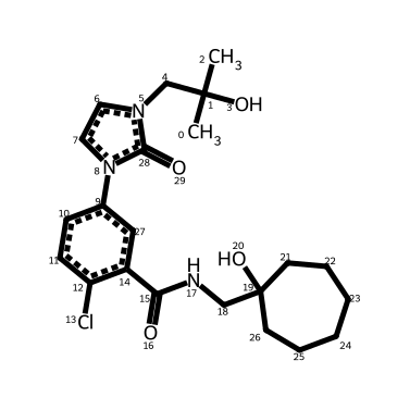 CC(C)(O)Cn1ccn(-c2ccc(Cl)c(C(=O)NCC3(O)CCCCCC3)c2)c1=O